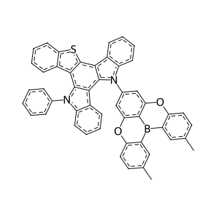 Cc1ccc2c(c1)B1c3cc(C)ccc3Oc3cc(-n4c5ccccc5c5c6sc7ccccc7c6c6c(c7ccccc7n6-c6ccccc6)c54)cc(c31)O2